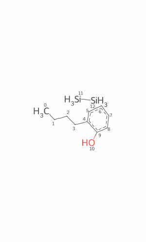 CCCCc1ccccc1O.[SiH3][SiH3]